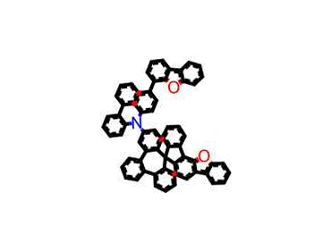 c1ccc(-c2ccccc2N(c2ccc(-c3cccc4c3oc3ccccc34)cc2)c2ccc3c(c2)-c2ccccc2-c2ccccc2C32c3ccccc3-c3c2ccc2c3oc3ccccc32)cc1